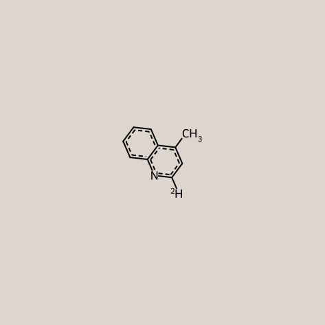 [2H]c1cc(C)c2ccccc2n1